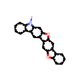 In1c2ccccc2c2cc3c(cc21)oc1cc2c(cc13)oc1ccccc12